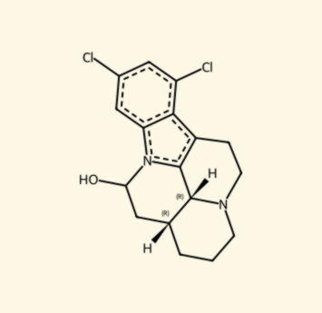 OC1C[C@H]2CCCN3CCc4c(n1c1cc(Cl)cc(Cl)c41)[C@@H]23